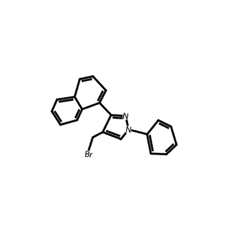 BrCc1cn(-c2ccccc2)nc1-c1cccc2ccccc12